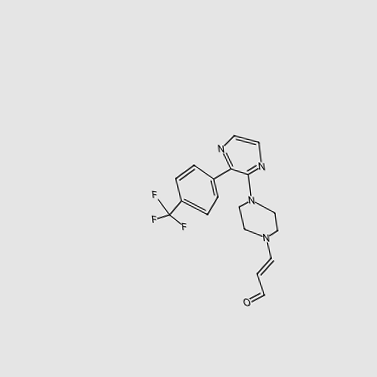 O=CC=CN1CCN(c2nccnc2-c2ccc(C(F)(F)F)cc2)CC1